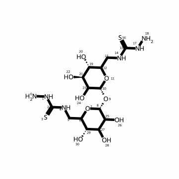 NNC(=S)NCC1O[C@H](O[C@H]2OC(CNC(=S)NN)[C@@H](O)[C@H](O)C2O)C(O)C(O)[C@@H]1O